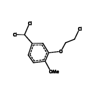 COc1ccc(C(Cl)Cl)cc1OCCCl